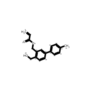 C=CC(=O)OCc1cc(-c2ccc(C)cc2)ccc1CO